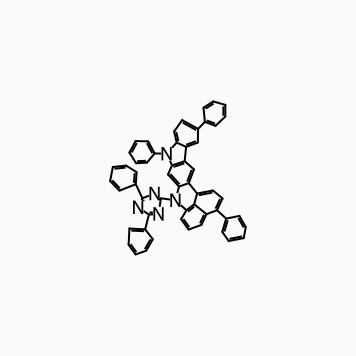 c1ccc(-c2ccc3c(c2)c2cc4c(cc2n3-c2ccccc2)N(c2nc(-c3ccccc3)nc(-c3ccccc3)n2)c2cccc3c(-c5ccccc5)ccc-4c23)cc1